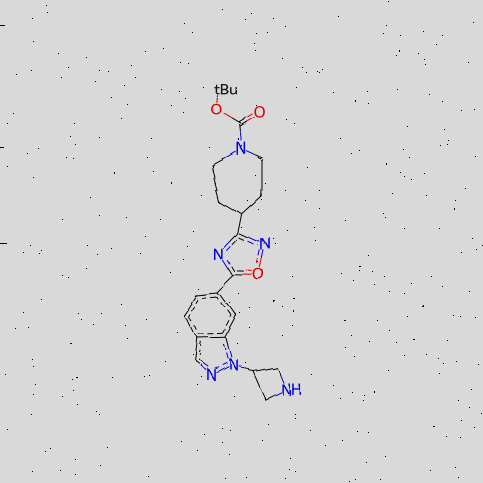 CC(C)(C)OC(=O)N1CCC(c2noc(-c3ccc4cnn(C5CNC5)c4c3)n2)CC1